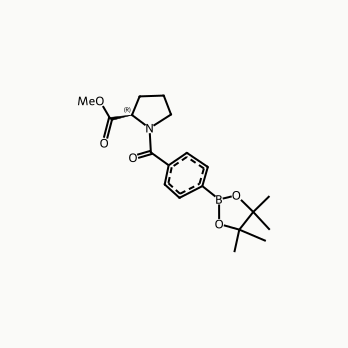 COC(=O)[C@H]1CCCN1C(=O)c1ccc(B2OC(C)(C)C(C)(C)O2)cc1